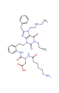 CCCn1c(=O)c2c(nc(Cc3ccccc3)n2CCNCC)n(CCc2ccccc2NC(=O)C(CC(=O)O)NC(=O)CCCCCN)c1=O